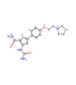 NC(=O)Nc1cc(-c2ccc(OCCN3CCCC3)cc2)sc1C(N)=O